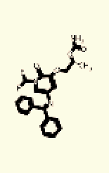 C[C@H](COc1cc(N=C(c2ccccc2)c2ccccc2)cn(C(F)F)c1=O)OC(N)=O